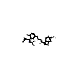 Cc1ccc(CCC[C@@H](C)c2c[nH]c3cc(C(F)(F)F)ccc23)cc1/C(=C\N(C)C)C1CC1C